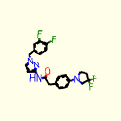 O=C(Cc1ccc(N2CCC(F)(F)C2)cc1)Nc1ccn(Cc2ccc(F)c(F)c2)n1